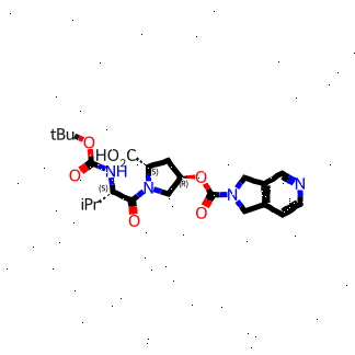 CC(C)[C@H](NC(=O)OC(C)(C)C)C(=O)N1C[C@H](OC(=O)N2Cc3ccncc3C2)C[C@H]1C(=O)O